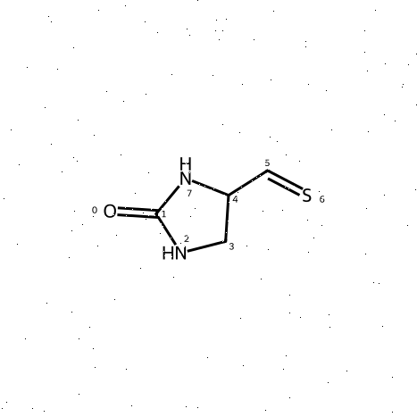 O=C1NCC(C=S)N1